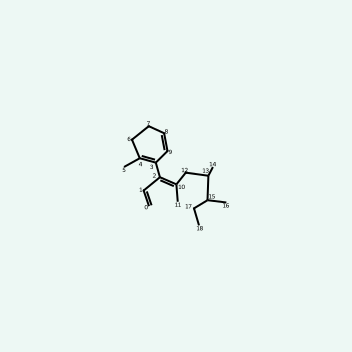 C=C/C(C1=C(C)CCC=C1)=C(\C)CC(C)C(C)CC